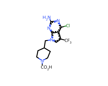 Nc1nc(Cl)c2c(C(F)(F)F)cn(CC3CCN(C(=O)O)CC3)c2n1